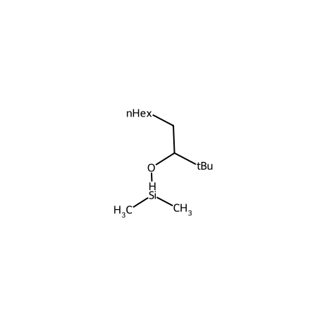 CCCCCCCC(O[SiH](C)C)C(C)(C)C